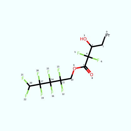 CC(C)CC(O)C(F)(F)C(=O)OCC(F)(F)C(F)(F)C(F)(F)C(F)F